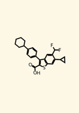 O=C(O)c1sc2cc(C3CC3)c(C(F)F)cc2c1-c1ccc(C2CCCCC2)cc1